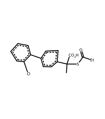 CCC(=O)SC(C)(C(=O)O)c1ccc(-c2ccccc2Cl)cc1